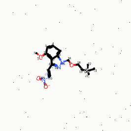 COc1cccc2c1c(/C=C/[N+](=O)[O-])nn2COCC[Si](C)(C)C